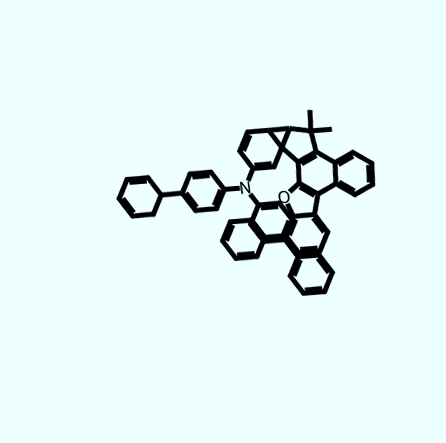 CC1(C)c2c(c3oc4c(-c5ccccc5)cccc4c3c3ccccc23)C23C=C(N(c4ccc(-c5ccccc5)cc4)c4ccc(C5C=CC=CC5)cc4)C=CC2C13